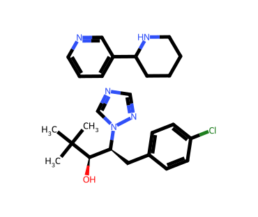 CC(C)(C)[C@H](O)[C@H](Cc1ccc(Cl)cc1)n1cncn1.c1cncc(C2CCCCN2)c1